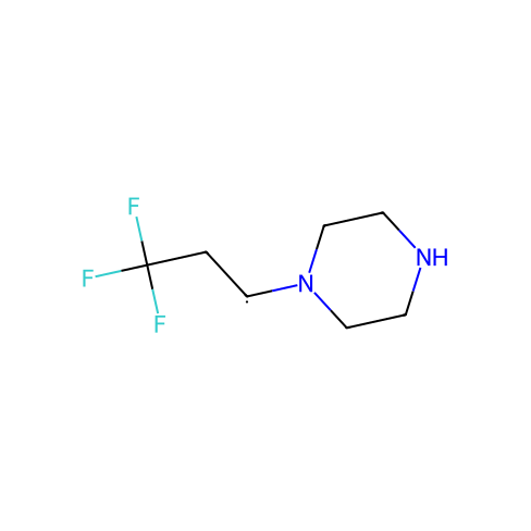 FC(F)(F)C[CH]N1CCNCC1